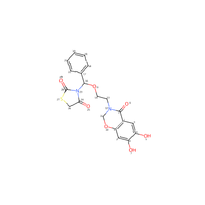 O=C1c2cc(O)c(O)cc2OCN1CCOC(c1ccccc1)N1C(=O)CSC1=O